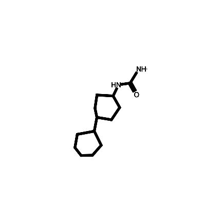 [NH]C(=O)NC1CCC(C2CCCCC2)CC1